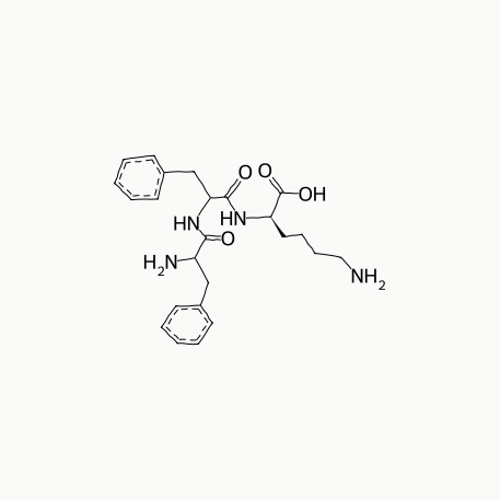 NCCCC[C@@H](NC(=O)C(Cc1ccccc1)NC(=O)C(N)Cc1ccccc1)C(=O)O